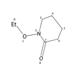 CCON1CCCCC1=O